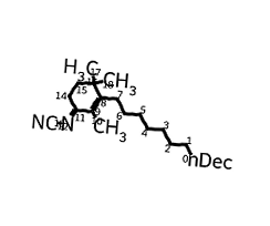 CCCCCCCCCCCCCCCCCC1=C(C)C(=NC#N)CCC1(C)C